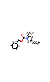 O=C(O)[C@H]1C[C@H](C(=O)O)N(C(=O)OCc2ccccc2)C1